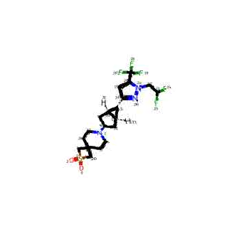 O=S1(=O)CC2(CCN([C@H]3C[C@@H]4[C@H](C3)[C@H]4c3cc(C(F)(F)F)n(CC(F)F)n3)CC2)C1